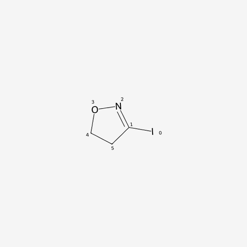 IC1=NOCC1